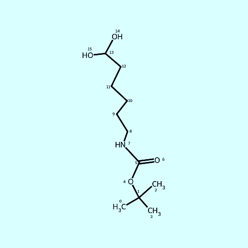 CC(C)(C)OC(=O)NCCCCCC(O)O